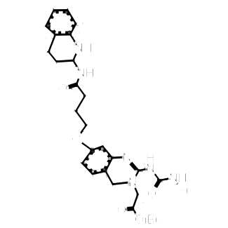 CCNC(=O)NC1=Nc2cc(OCCCC(=O)NC3CCc4ccccc4N3)ccc2CN1CC(=O)OCC(C)C